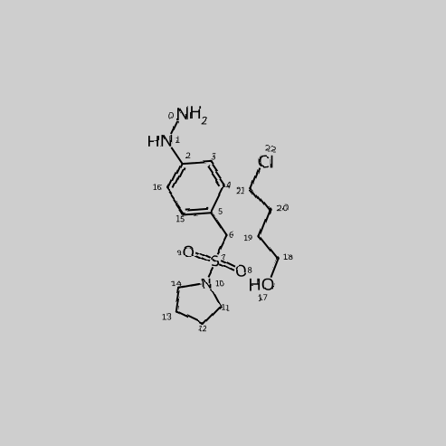 NNc1ccc(CS(=O)(=O)N2CCCC2)cc1.OCCCCCl